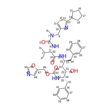 CC(C)[C@H](NC(=O)N(C)Cc1csc(C2CCCC2)n1)C(=O)N[C@@H](Cc1ccccc1)C[C@H](O)[C@H](Cc1ccccc1)NC(=O)OCc1cnco1